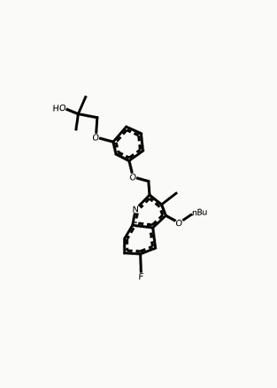 CCCCOc1c(C)c(COc2cccc(OCC(C)(C)O)c2)nc2ccc(F)cc12